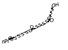 CCCOOCSCSCSCSCOC(=O)CSCSCSCSCC(=O)OCCSCSCO